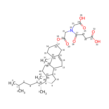 CC(C)CCC[C@@H](C)[C@H]1CCC2C3CC=C4C[C@@H](OC(=O)CN(CC(=O)O)C(=O)CCC(=O)O)CC[C@]4(C)C3CC[C@@]21C